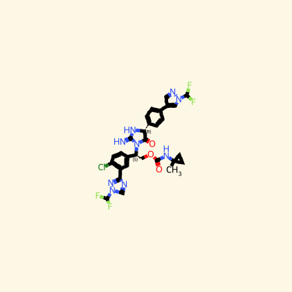 CC1(NC(=O)OC[C@H](c2ccc(Cl)c(-c3ncn(C(F)F)n3)c2)N2C(=N)N[C@H](c3ccc(-c4cnn(C(F)F)c4)cc3)C2=O)CC1